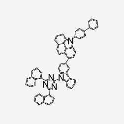 c1ccc(-c2ccc(-n3c4cccc5ccc6c(-c7ccc8c(c7)c7ccccc7n8-c7nc(-c8cccc9ccccc89)nc(-c8cccc9ccccc89)n7)ccc3c6c54)cc2)cc1